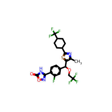 Cc1nc(C2CCC(C(F)(F)F)CC2)sc1C(OCC(F)(F)F)c1ccc(-c2noc(=O)[nH]2)c(F)c1